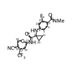 CNC(=O)c1ccc(NC2(C(=O)Nc3ccc(C#N)c(C(F)(F)F)c3)CC2)cc1F